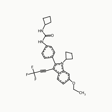 CCOc1ccc2c(C#CC(F)(F)F)c(-c3ccc(NC(=O)NC4CCC4)cc3)n(C3CCC3)c2c1